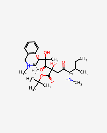 CCC(C)[C@H](NC)C(=O)CC(O)(C(=O)OC(C)(C)C)C(=O)C(C)(O)C(=O)[C@H](C)N(C)Cc1ccccc1